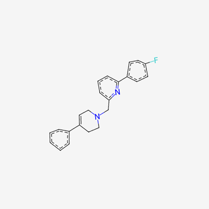 Fc1ccc(-c2cccc(CN3CC=C(c4ccccc4)CC3)n2)cc1